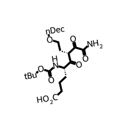 CCCCCCCCCCOCC[C@H](C(=O)C(N)=O)C(=O)[C@H](CCCC(=O)O)NC(=O)OC(C)(C)C